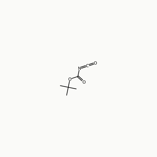 CC(C)(C)OC(=O)N=C=O